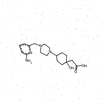 Nc1cccc(CN2CCN(C3CCC(O)(CC(=O)O)CC3)CC2)n1